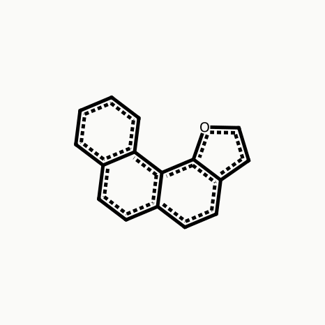 c1ccc2c(c1)ccc1ccc3ccoc3c12